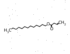 C=CCC(=O)OCCCCCCCCCCCCC